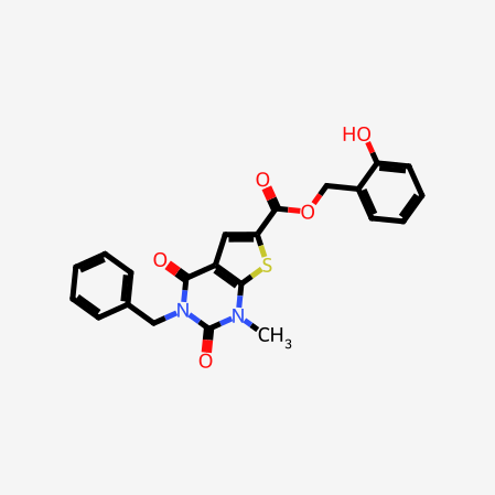 Cn1c(=O)n(Cc2ccccc2)c(=O)c2cc(C(=O)OCc3ccccc3O)sc21